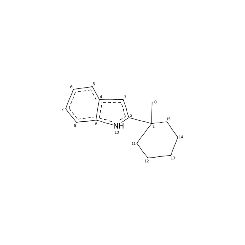 CC1(c2cc3ccccc3[nH]2)CCCCC1